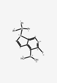 CC(C)[Si](C(C)C)(C(C)C)n1ccc2c(B(O)O)c(F)ncc21